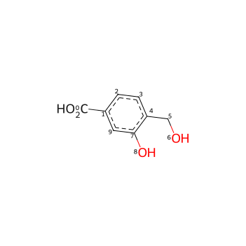 O=C(O)c1ccc(CO)c(O)c1